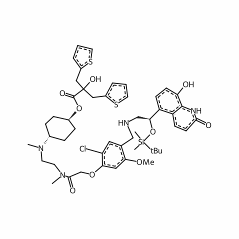 COc1cc(OCC(=O)N(C)CCN(C)[C@H]2CC[C@H](OC(=O)C(O)(Cc3cccs3)Cc3cccs3)CC2)c(Cl)cc1CNC[C@H](O[Si](C)(C)C(C)(C)C)c1ccc(O)c2[nH]c(=O)ccc12